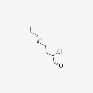 CC/C=C/CCC(Cl)C=O